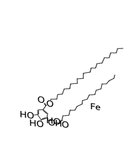 CCCCCCCCCCCCCCCCCC(=O)O.CCCCCCCCCCCCCCCCCCCCCCOC(=O)c1cc(O)c(O)c(O)c1.[Fe]